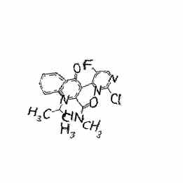 CNC(=O)c1c(-c2nc(Cl)ncc2F)c(=O)c2ccccc2n1C(C)C